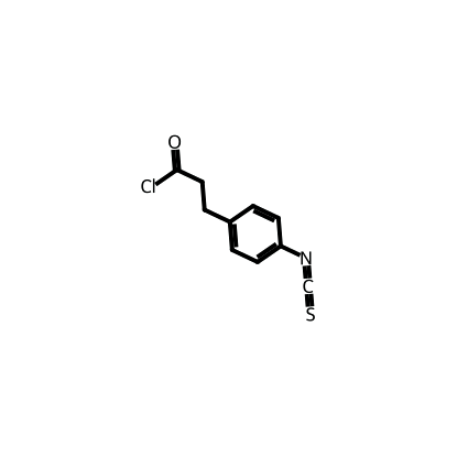 O=C(Cl)CCc1ccc(N=C=S)cc1